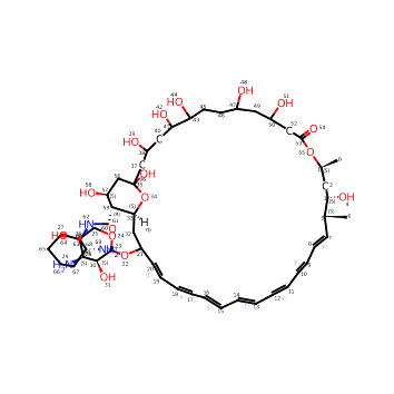 C[C@H]1C[C@H](O)[C@@H](C)/C=C/C=C/C=C/C=C/C=C/C=C/C=C/C(O[C@@H]2OC[C@@H](O)[C@H](N)[C@@H]2O)C[C@@H]2OC(O)(CC(O)CC(O)C(O)CCC(O)CC(O)CC(=O)O1)C[C@H](O)[C@H]2C(=O)N[C@@H]1CCCC[C@H]1N